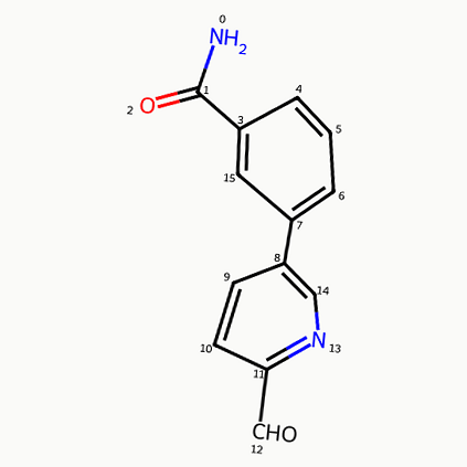 NC(=O)c1cccc(-c2ccc(C=O)nc2)c1